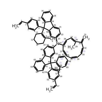 C=Cc1ccc(C2(C3=C(C)CCCC3)c3ccccc3-c3ccc(N(C4=C/C=C(\C)C(=C)/C=C\C=C/C=C\4)c4ccc5c(c4)C(C(/C=C\C=C/C)=C\F)(c4ccc(C=C)cc4)c4ccccc4-5)cc32)cc1